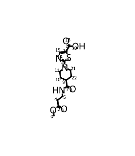 COC(=O)CCNC(=O)C1CCN(c2ncc(C(=O)O)s2)CC1